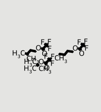 CC(C)(C)OC(=O)C(F)(F)F.CC(C)CCOC(=O)C(F)(F)F.CCCCCOC(=O)C(F)(F)F